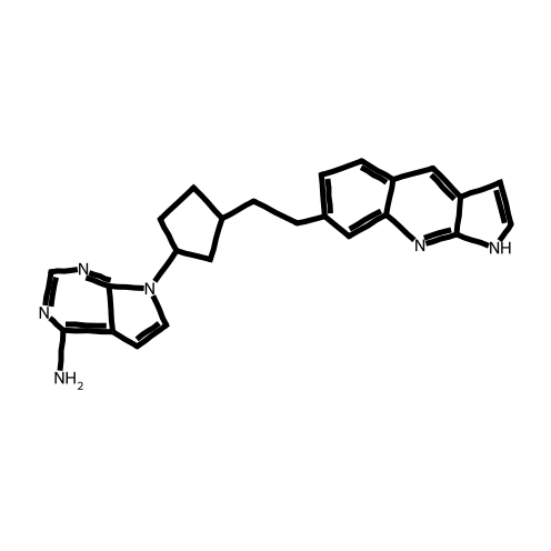 Nc1ncnc2c1ccn2C1CCC(CCc2ccc3cc4cc[nH]c4nc3c2)C1